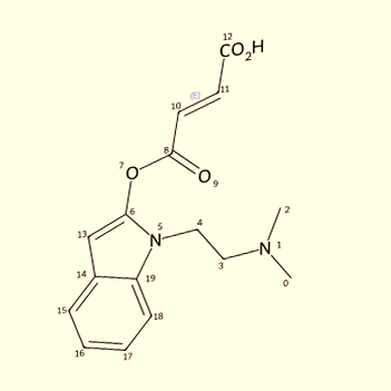 CN(C)CCn1c(OC(=O)/C=C/C(=O)O)cc2ccccc21